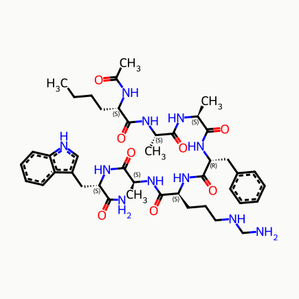 CCCC[C@H](NC(C)=O)C(=O)N[C@@H](C)C(=O)N[C@@H](C)C(=O)N[C@H](Cc1ccccc1)C(=O)N[C@@H](CCCNCN)C(=O)N[C@@H](C)C(=O)N[C@@H](Cc1c[nH]c2ccccc12)C(N)=O